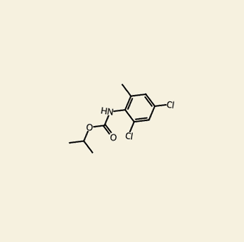 Cc1cc(Cl)cc(Cl)c1NC(=O)OC(C)C